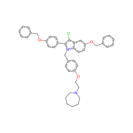 Clc1c(-c2ccc(OCc3ccccc3)cc2)n(Cc2ccc(OCCN3CCCCCC3)cc2)c2ccc(OCc3ccccc3)cc12